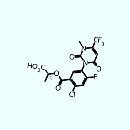 C[C@H](OC(=O)c1cc(-n2c(=O)cc(C(F)(F)F)n(C)c2=O)c(F)cc1Cl)C(=O)O